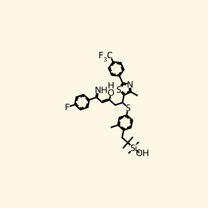 Cc1cc(SC(C/C(O)=C/C(=N)c2ccc(F)cc2)c2sc(-c3ccc(C(F)(F)F)cc3)nc2C)ccc1CC(C)(C)[Si](C)(C)O